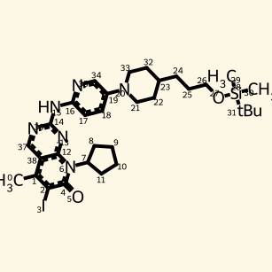 Cc1c(I)c(=O)n(C2CCCC2)c2nc(Nc3ccc(N4CCC(CCCO[Si](C)(C)C(C)(C)C)CC4)cn3)ncc12